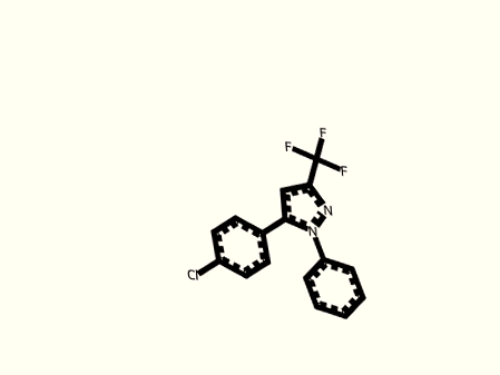 FC(F)(F)c1cc(-c2ccc(Cl)cc2)n(-c2ccccc2)n1